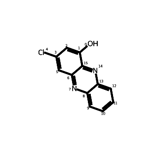 Oc1cc(Cl)cc2nc3ccccc3nc12